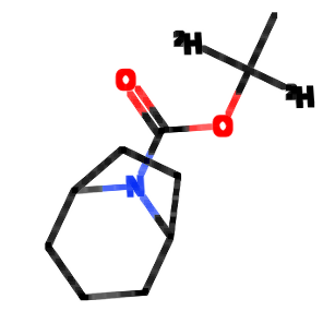 [2H]C([2H])(C)OC(=O)N1C2CCCC1CC2